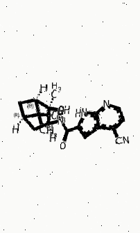 CC1(C)[C@H]2C[C@H](NC(=O)c3cc4c(C#N)ccnc4[nH]3)[C@](C)(O)[C@@H]1C2